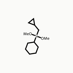 CO[Si]([CH]C1CC1)(OC)C1CCCCC1